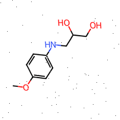 COc1ccc(NCC(O)CO)cc1